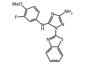 COc1ccc(Nc2nc(N)nn2-c2nc3ccccc3s2)cc1F